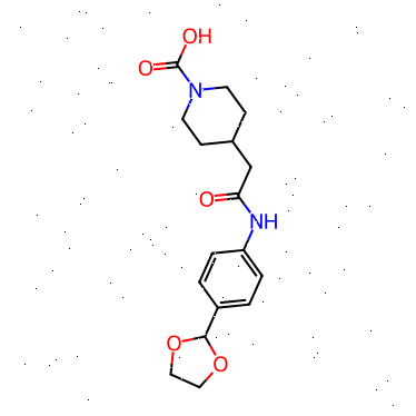 O=C(CC1CCN(C(=O)O)CC1)Nc1ccc(C2OCCO2)cc1